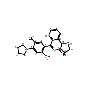 CC(C)(C)O/N=C(/c1cc(Cl)c(N2CCCC2)cc1O)c1ncccc1C1OCCO1